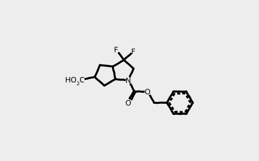 O=C(O)C1CC2C(C1)C(F)(F)CN2C(=O)OCc1ccccc1